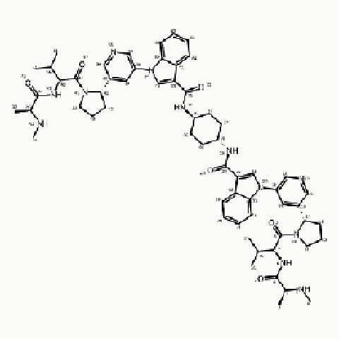 CN[C@@H](C)C(=O)N[C@H](C(=O)N1CCC[C@H]1c1cncc(-n2cc(C(=O)N[C@H]3CC[C@H](NC(=O)c4cn(-c5cncc([C@@H]6CCCN6C(=O)[C@@H](NC(=O)[C@H](C)NC)C(C)C)c5)c5ccccc45)CC3)c3ccccc32)c1)C(C)C